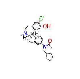 CC(=O)N(CC1CCCC1)c1ccc2c(c1)CC[C@H]1[C@H]2c2cc(O)c(Cl)cc2CCN1C